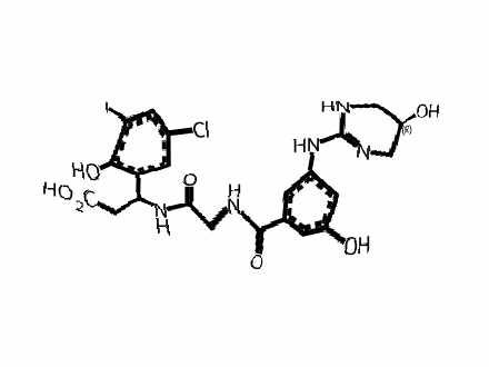 O=C(O)CC(NC(=O)CNC(=O)c1cc(O)cc(NC2=NC[C@H](O)CN2)c1)c1cc(Cl)cc(I)c1O